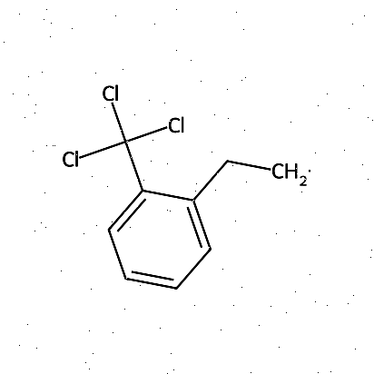 [CH2]Cc1ccccc1C(Cl)(Cl)Cl